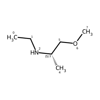 CCN[C@@H](C)COC